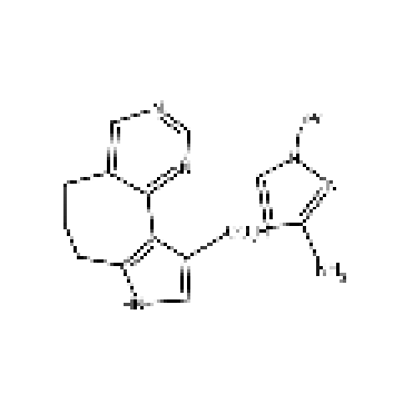 CCCn1ccc(N)n1.O=C(O)c1c[nH]c2c1-c1ncncc1CCC2